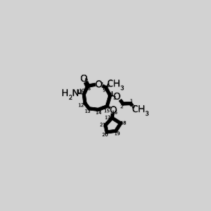 CCCO[C@H]1[C@H](C)OC(=O)[C@@H](N)CCC[C@@H]1OC1CCCC1